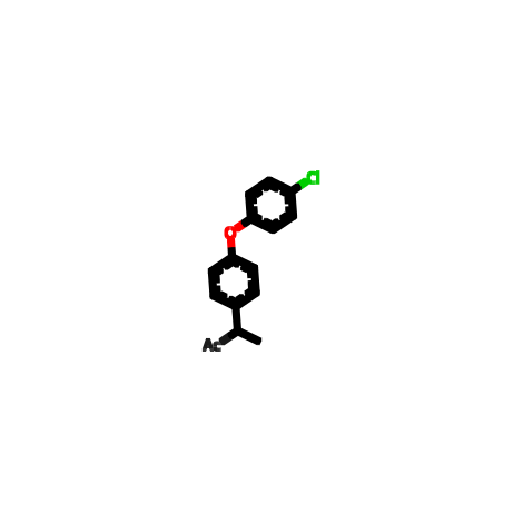 CC(=O)C(C)c1ccc(Oc2ccc(Cl)cc2)cc1